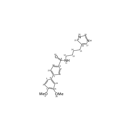 COc1ccc(-c2ccc(C(=O)NCCCCc3cncnc3)cc2)cc1OC